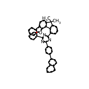 CC1(C)c2cccc(-c3nc(-c4ccccc4)nc(-c4ccc(-c5ccc6ccccc6c5)cc4)n3)c2-c2c1ccc1c2oc2ccccc21